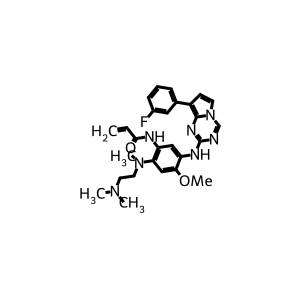 C=CC(=O)Nc1cc(Nc2ncn3ccc(-c4cccc(F)c4)c3n2)c(OC)cc1N(C)CCN(C)C